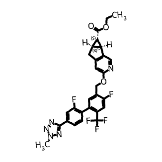 CCOC(=O)[C@H]1[C@@H]2Cc3cc(OCc4cc(-c5ccc(-c6nnn(C)n6)cc5F)c(C(F)(F)F)cc4F)ncc3[C@@H]21